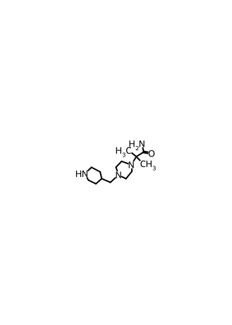 CC(C)(C(N)=O)N1CCN(CC2CCNCC2)CC1